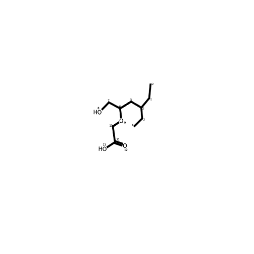 CCC(CC)CC(CO)OCC(=O)O